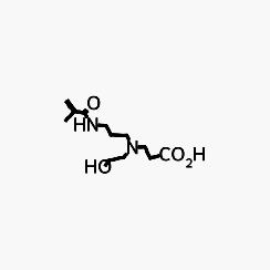 C=C(C)C(=O)NCCCN(CCO)CCC(=O)O